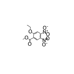 CCOc1cc([N+](=O)[O-])c([N+](=O)[O-])cc1C(=O)OC